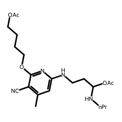 CCCNC(CCNc1cc(C)c(C#N)c(OCCCCOC(C)=O)n1)OC(C)=O